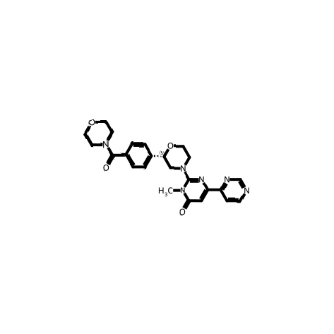 Cn1c(N2CCO[C@@H](c3ccc(C(=O)N4CCOCC4)cc3)C2)nc(-c2ccncn2)cc1=O